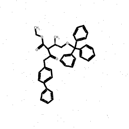 CCOC(=O)C(C(=O)Cc1ccc(-c2ccccc2)cc1)[C@@H](C)COC(c1ccccc1)(c1ccccc1)c1ccccc1